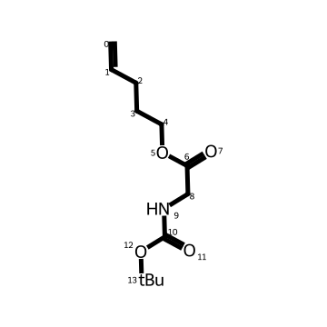 C=CCCCOC(=O)CNC(=O)OC(C)(C)C